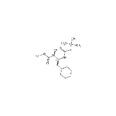 COC(=O)[C@@H](O)[C@H](CC1CCCCC1)NC(=O)OC(C)(C)C